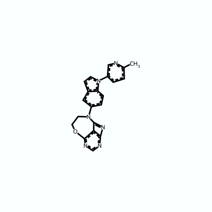 Cc1ccc(-n2ccc3cc(N4CCOc5ncnc6c5C4=N6)ccc32)cn1